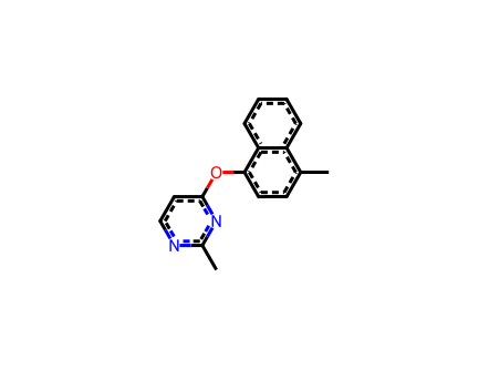 Cc1nccc(Oc2ccc(C)c3ccccc23)n1